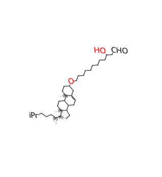 CC(C)CCC[C@@H](C)[C@H]1CCC2C3CC=C4CC(OCCCCCCCCCC(O)CC=O)CC[C@]4(C)C3CC[C@@]21C